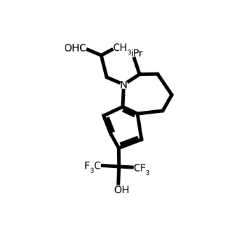 CC(C=O)CN1c2ccc(C(O)(C(F)(F)F)C(F)(F)F)cc2CCCC1C(C)C